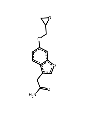 NC(=O)Cc1coc2cc(OCC3CO3)ccc12